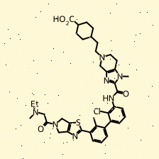 CCN(C)CC(=O)N1Cc2nc(-c3cccc(-c4cccc(NC(=O)c5nc6c(n5C)CCN(CCC5CCC(C(=O)O)CC5)C6)c4Cl)c3C)sc2C1